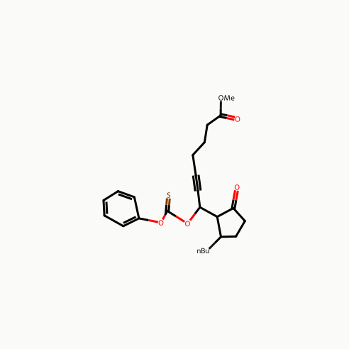 CCCCC1CCC(=O)C1C(C#CCCCC(=O)OC)OC(=S)Oc1ccccc1